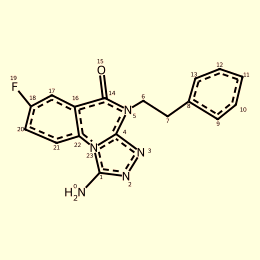 Nc1nnc2n(CCc3ccccc3)c(=O)c3cc(F)ccc3n12